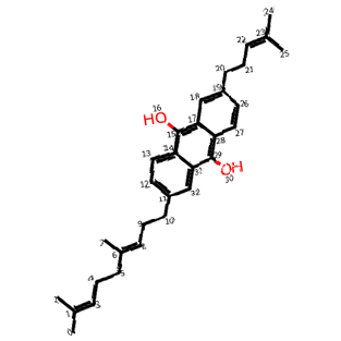 CC(C)=CCC/C(C)=C/CCc1ccc2c(O)c3cc(CCC=C(C)C)ccc3c(O)c2c1